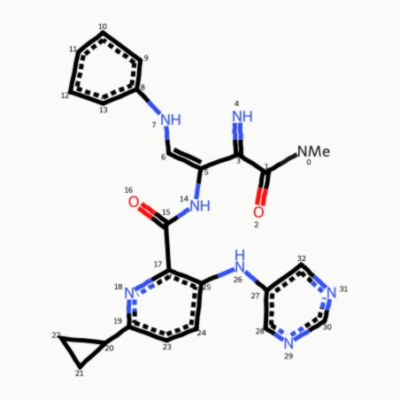 CNC(=O)C(=N)/C(=C\Nc1ccccc1)NC(=O)c1nc(C2CC2)ccc1Nc1cncnc1